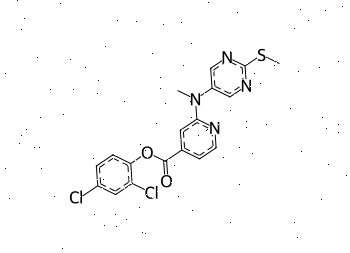 CSc1ncc(N(C)c2cc(C(=O)Oc3ccc(Cl)cc3Cl)ccn2)cn1